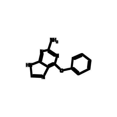 Nc1nc(Oc2ccccc2)c2nc[nH]c2n1